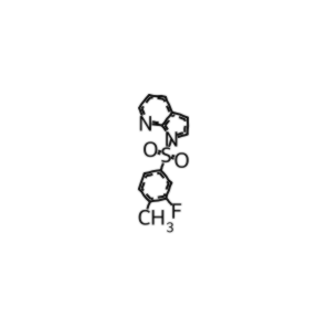 Cc1ccc(S(=O)(=O)n2ccc3cccnc32)cc1F